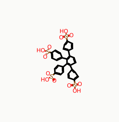 O=S(=O)(O)c1ccc(-c2ccc(-c3ccc(S(=O)(=O)O)cc3)c(-c3ccc(S(=O)(=O)O)cc3)c2-c2ccc(S(=O)(=O)O)cc2)cc1